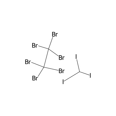 BrC(Br)(Br)C(Br)(Br)Br.IC(I)I